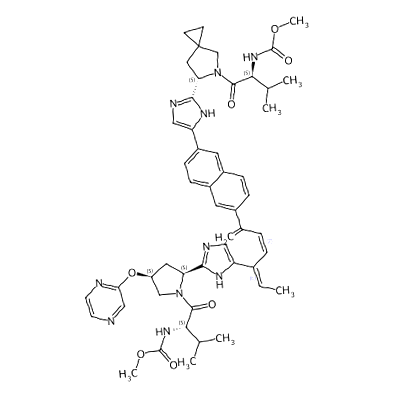 C=C(/C=C\C(=C/C)c1cnc([C@@H]2C[C@H](Oc3cnccn3)CN2C(=O)[C@@H](NC(=O)OC)C(C)C)[nH]1)c1ccc2cc(-c3cnc([C@@H]4CC5(CC5)CN4C(=O)[C@@H](NC(=O)OC)C(C)C)[nH]3)ccc2c1